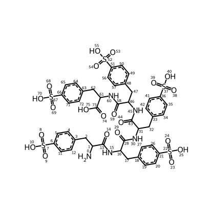 NC(Cc1ccc(S(=O)(=O)O)cc1)C(=O)NC(Cc1ccc(S(=O)(=O)O)cc1)C(=O)NC(Cc1ccc(S(=O)(=O)O)cc1)C(=O)NC(Cc1ccc(S(=O)(=O)O)cc1)C(=O)NC(Cc1ccc(S(=O)(=O)O)cc1)C(=O)O